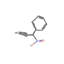 C#C[C](c1ccccc1)[N+](=O)[O-]